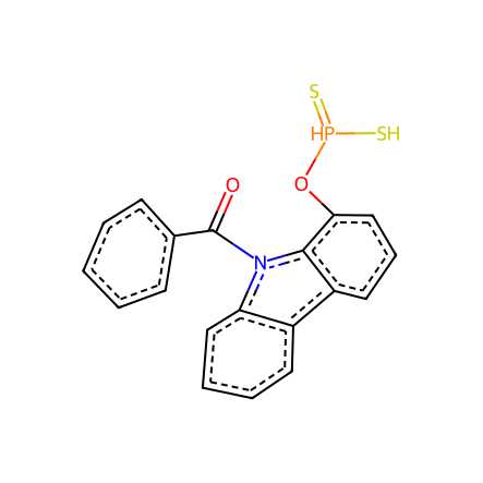 O=C(c1ccccc1)n1c2ccccc2c2cccc(O[PH](=S)S)c21